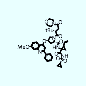 C=CC1C[C@]1(NC(=O)[C@@H]1C[C@@H](Oc2cc(-c3ccccc3)nc3cc(OC)ccc23)CN1C(=O)[C@@H](CC(=O)N1CCOCC1)C(C)(C)C)C(=O)NS(=O)(=O)C1CC1